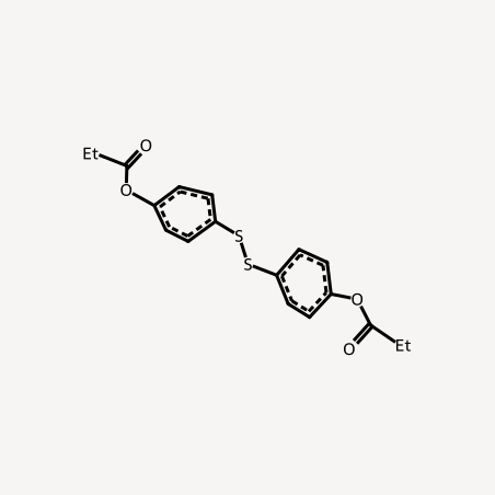 CCC(=O)Oc1ccc(SSc2ccc(OC(=O)CC)cc2)cc1